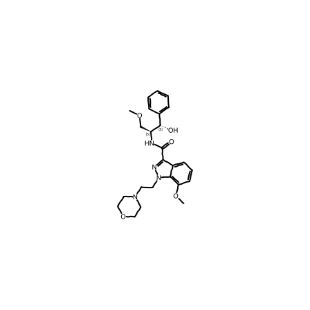 COC[C@H](NC(=O)c1nn(CCN2CCOCC2)c2c(OC)cccc12)[C@@H](O)c1ccccc1